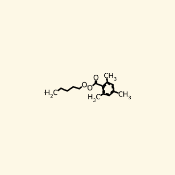 [CH2]CCCCOOC(=O)c1c(C)cc(C)cc1C